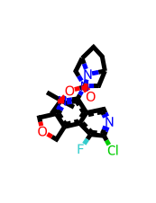 CC(C)(C)OC(=O)N1C2CCC1CN(c1nc3c(c4c(F)c(Cl)ncc14)COC3)C2